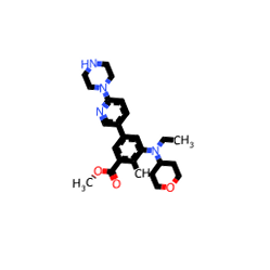 CCN(c1cc(-c2ccc(N3CCNCC3)nc2)cc(C(=O)OC)c1C)C1CCOCC1